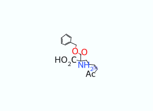 CC(=O)/C=C\CCC(N)(C(=O)O)C(=O)OCc1ccccc1